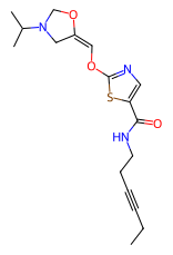 CCC#CCCNC(=O)c1cnc(OC=C2CN(C(C)C)CO2)s1